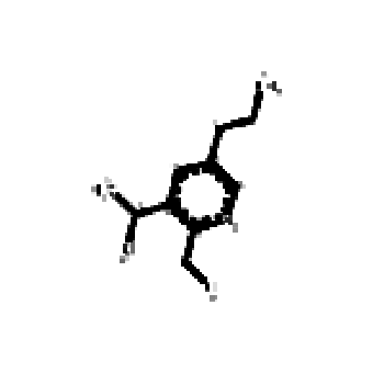 CCCc1cnc(CCl)c(C(C)Cl)c1